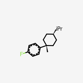 CC(C)[C@H]1CC[C@](C)(c2ccc(F)cc2)CC1